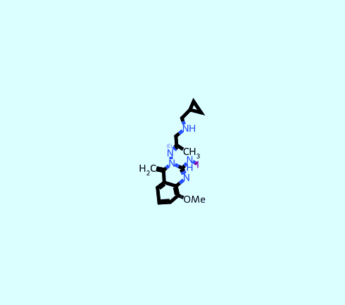 C=C1c2cccc(OC)c2N=C(NI)N1/N=C(\C)CNCC1CC1